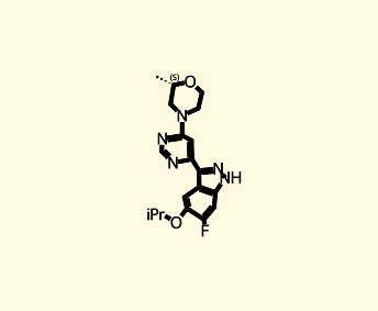 CC(C)Oc1cc2c(-c3cc(N4CCO[C@@H](C)C4)ncn3)n[nH]c2cc1F